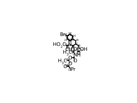 CC(NC(=O)OC(C)OC(=O)C(C)C)OP(=O)(O)CC(Cc1ccc(Br)cc1)C(=O)NC(C)C(=O)O